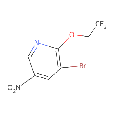 O=[N+]([O-])c1cnc(OCC(F)(F)F)c(Br)c1